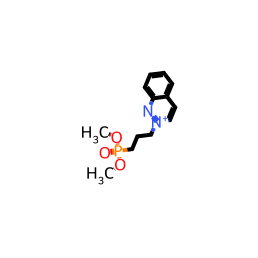 COP(=O)(CCC[n+]1ccc2ccccc2n1)OC